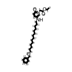 CCOC(=O)Cn1cc(NCCCCCCCCCCCCCCOCc2ccccc2)ccc1=O